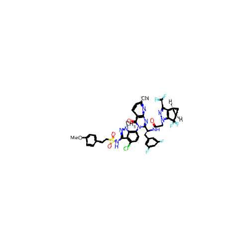 COc1ccc(CCS(=O)(=O)Nc2nn(C)c3c(-n4c([C@H](Cc5cc(F)cc(F)c5)NC(=O)Cn5nc(C(F)F)c6c5C(F)(F)[C@@H]5C[C@H]65)nc5nc(C#N)ccc5c4=O)ccc(Cl)c23)cc1